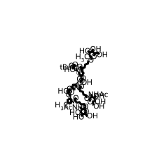 CC(=O)NC1C(OCCCCC(=O)N2C[C@H](C)C[C@H]2COP(=O)(O)O[C@@H]2C[C@@H](COP(=O)(O)O[C@@H]3C[C@@H](COP(=O)(O)OC(C)(C)C)N(C(=O)CCCCOC4OC(CO)C(O)C(O)C4C)C3)N(C(=O)CCCCOC3OC(CO)C(O)C(O)C3NC(C)=O)C2)OC(CO)C(O)C1O